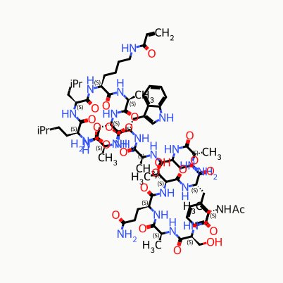 C=CC(=O)NCCCC[C@H](NC(=O)[C@H](CC(C)C)NC(=O)[C@H](CCC(C)C)NC(=O)[C@H](C)NC(=O)[C@H](Cc1c[nH]c2ccccc12)NC(=O)[C@H](C)NC(=O)C(CC(N)=O)NC(=O)[C@H](C)NC(=O)[C@H](Cc1ccccc1)NC(=O)[C@@H](NC(=O)[C@H](CCC(N)=O)NC(=O)[C@H](C)NC(=O)[C@H](CO)NC(=O)[C@H](C)NC(C)=O)[C@@H](C)O)C(=O)N[C@@H](C)C(=O)N[C@@H](CC(N)=O)C(N)=O